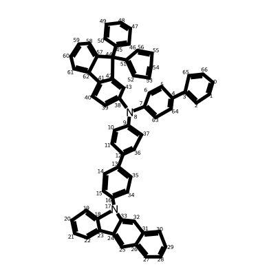 c1ccc(-c2ccc(N(c3ccc(-c4ccc(-n5c6ccccc6c6cc7ccccc7cc65)cc4)cc3)c3ccc4c(c3)C(c3ccccc3)(c3ccccc3)c3ccccc3-4)cc2)cc1